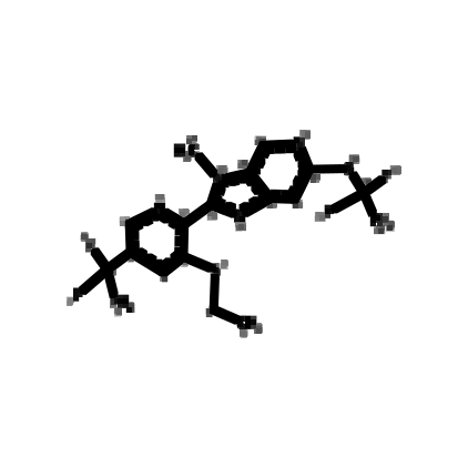 CCSc1cc(C(F)(F)P)cnc1-c1nc2cc(SC(F)(F)P)ncc2n1C